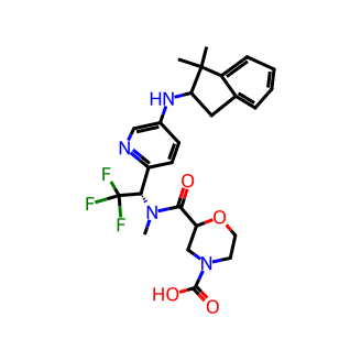 CN(C(=O)C1CN(C(=O)O)CCO1)[C@@H](c1ccc(NC2Cc3ccccc3C2(C)C)cn1)C(F)(F)F